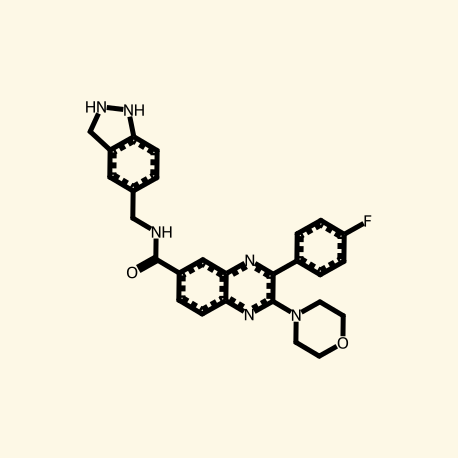 O=C(NCc1ccc2c(c1)CNN2)c1ccc2nc(N3CCOCC3)c(-c3ccc(F)cc3)nc2c1